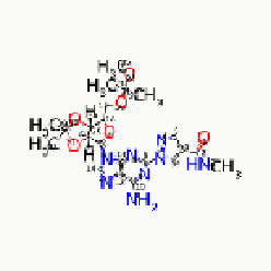 CNC(=O)c1cnn(-c2nc(N)c3ncn([C@@H]4O[C@H](COC(C)(C)OC)[C@H]5OC(C)(C)O[C@H]54)c3n2)c1